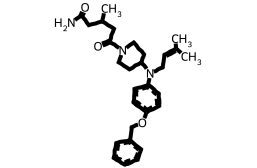 CC(C)=CCN(c1ccc(OCc2ccccc2)cc1)C1CCN(C(=O)CC(C)CC(N)=O)CC1